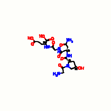 NCC(=O)N1C[C@H](O)C[C@H]1C(=O)N[C@@H](CC(N)=O)C(=O)NCC(=O)N[C@@H](CCC(=O)O)C(=O)O